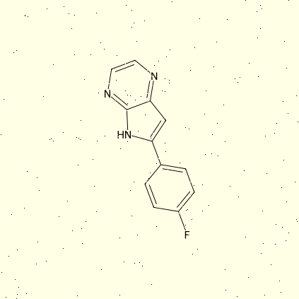 Fc1ccc(-c2cc3nccnc3[nH]2)cc1